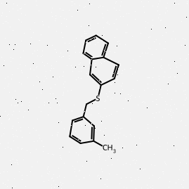 Cc1cccc(CSc2ccc3ccccc3c2)c1